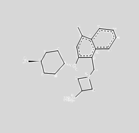 Cc1cc(O[C@H]2CC[C@H](C(C)C)CC2)c(CN2CC(C(=O)O)C2)c2ccccc12